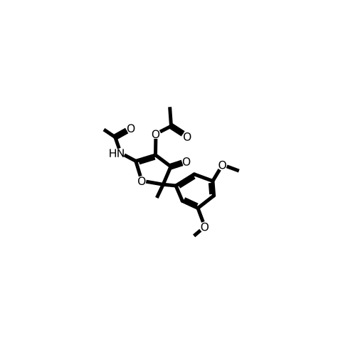 COc1cc(OC)cc(C2(C)OC(NC(C)=O)=C(OC(C)=O)C2=O)c1